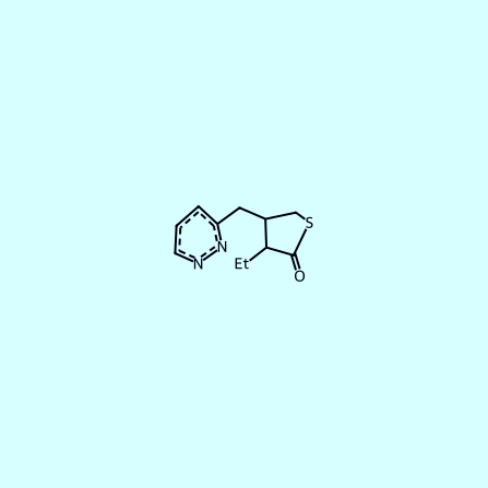 CCC1C(=O)SCC1Cc1cccnn1